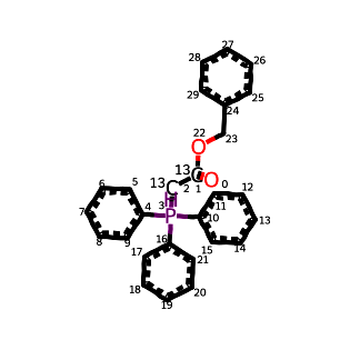 O=[13C]([13CH2][PH](c1ccccc1)(c1ccccc1)c1ccccc1)OCc1ccccc1